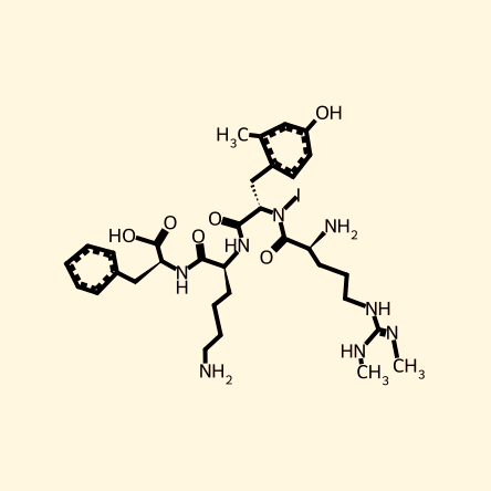 C/N=C(\NC)NCCC[C@H](N)C(=O)N(I)[C@@H](Cc1ccc(O)cc1C)C(=O)N[C@@H](CCCCN)C(=O)N[C@@H](Cc1ccccc1)C(=O)O